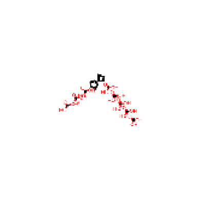 C1CCC1.C1CCCC1.O=C(O)O.O=C(O)O.O=C(O)O.O=C(O)O.O=C(O)O.O=C(O)O.O=C(O)O.O=C(O)O